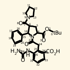 CC(C)(C)OC(=O)C1CC(C(=O)N2CCCC2)C(c2ccccc2)N1C(=O)Cc1c(NC(N)=O)cccc1C(=O)O